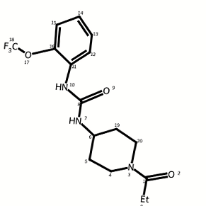 CCC(=O)N1CCC(NC(=O)Nc2ccccc2OC(F)(F)F)CC1